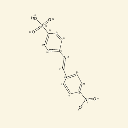 O=[N+]([O-])c1ccc(N=Nc2ccc(S(=O)(=O)O)cc2)cc1